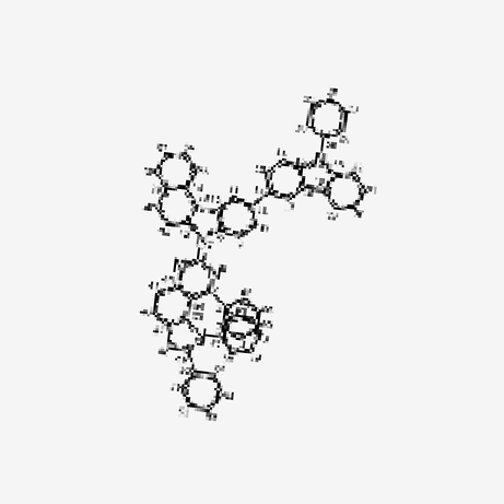 c1ccc(-c2nc(-n3c4ccc(-c5ccc6c(c5)c5ccccc5n6-c5ccccc5)cc4c4c5ccccc5ccc43)nc3ccc4cc(-c5ccccc5)n(-c5ccccc5)c4c23)cc1